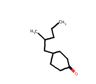 CCCC(C)CC1CCC(=O)CC1